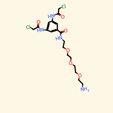 NCCOCCOCCOCCNC(=O)c1cc(NC(=O)CCl)cc(NC(=O)CCl)c1